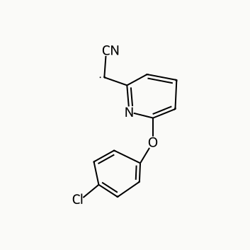 N#C[CH]c1cccc(Oc2ccc(Cl)cc2)n1